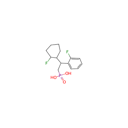 O=P(O)(O)CC(c1ccccc1F)C1CCCCC1F